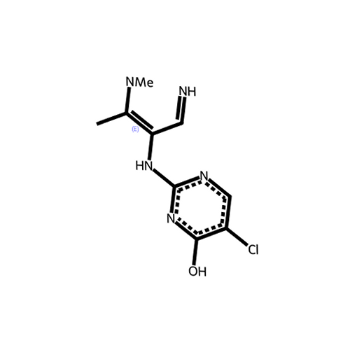 CN/C(C)=C(\C=N)Nc1ncc(Cl)c(O)n1